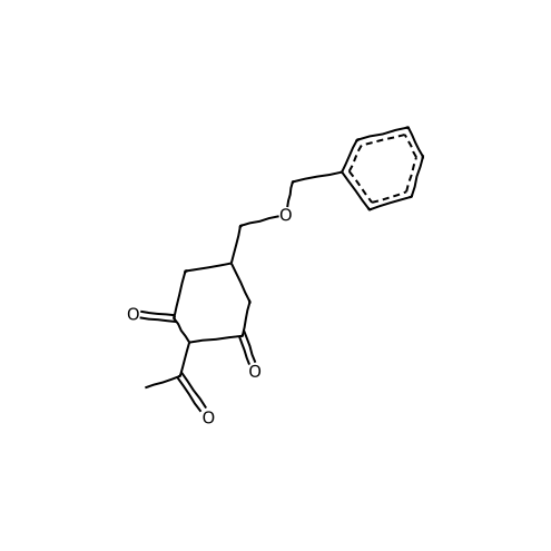 CC(=O)C1C(=O)CC(COCc2ccccc2)CC1=O